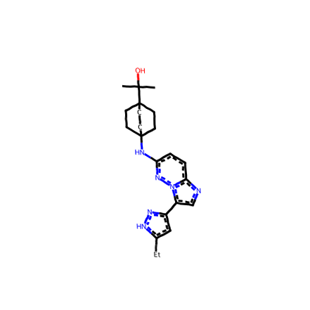 CCc1cc(-c2cnc3ccc(NC45CCC(C(C)(C)O)(CC4)CC5)nn23)n[nH]1